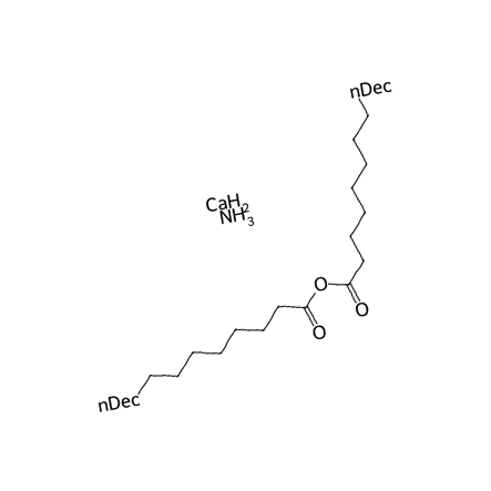 CCCCCCCCCCCCCCCCCC(=O)OC(=O)CCCCCCCCCCCCCCCCC.N.[CaH2]